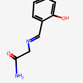 NC(=O)C/N=C/c1ccccc1O